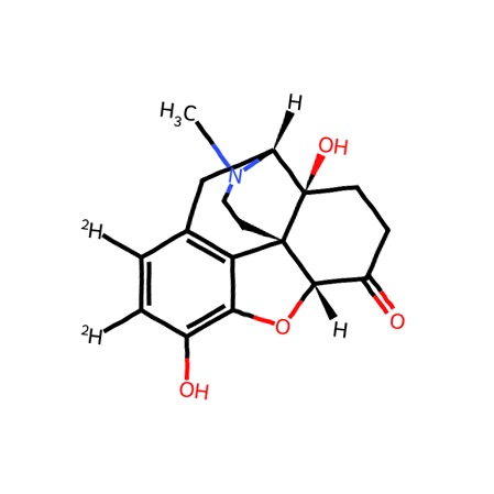 [2H]c1c([2H])c2c3c(c1O)O[C@H]1C(=O)CC[C@@]4(O)[C@@H](C2)N(C)CC[C@]314